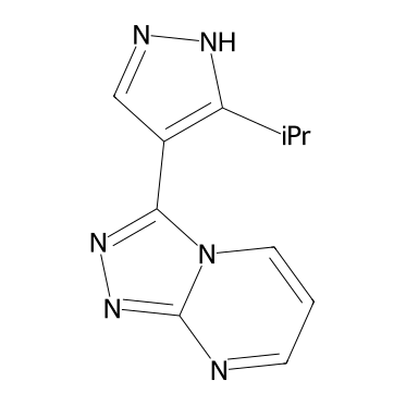 CC(C)c1[nH]ncc1-c1nnc2ncccn12